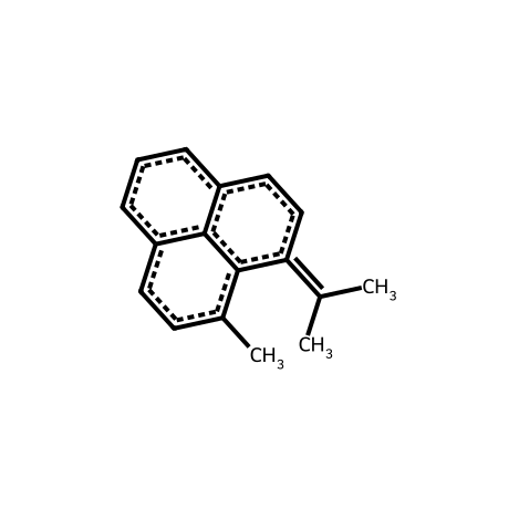 CC(C)=c1ccc2cccc3ccc(C)c1c32